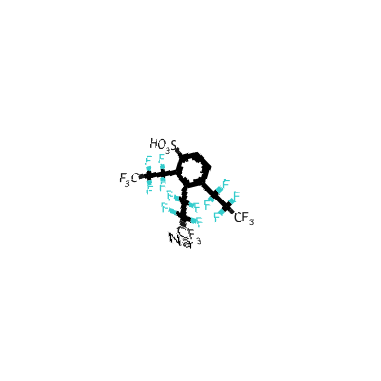 O=S(=O)(O)c1ccc(C(F)(F)C(F)(F)C(F)(F)F)c(C(F)(F)C(F)(F)C(F)(F)F)c1C(F)(F)C(F)(F)C(F)(F)F.[Na]